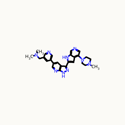 CN(C)Cc1cncc(-c2cnc3[nH]nc(-c4cc5c(N6CCN(C)CC6)cncc5[nH]4)c3c2)c1